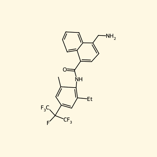 CCc1cc(C(F)(C(F)(F)F)C(F)(F)F)cc(C)c1NC(=O)c1ccc(CN)c2ccccc12